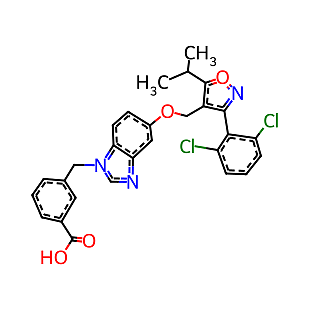 CC(C)c1onc(-c2c(Cl)cccc2Cl)c1COc1ccc2c(c1)ncn2Cc1cccc(C(=O)O)c1